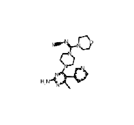 Cc1nc(N)nc(N2CCN(/C(=N\C#N)N3CCOCC3)CC2)c1-c1cccnc1